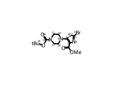 COC(=O)c1nc(Br)sc1N1CCN(C(=O)OC(C)(C)C)CC1